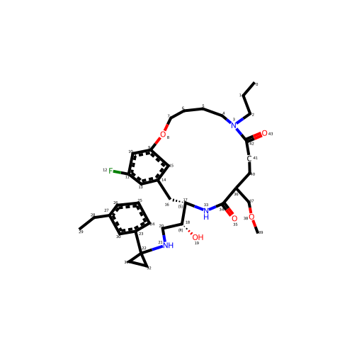 CCCN1CCCCOc2cc(F)cc(c2)C[C@@H]([C@H](O)CNC2(c3cccc(CC)c3)CC2)NC(=O)C(COC)CCC1=O